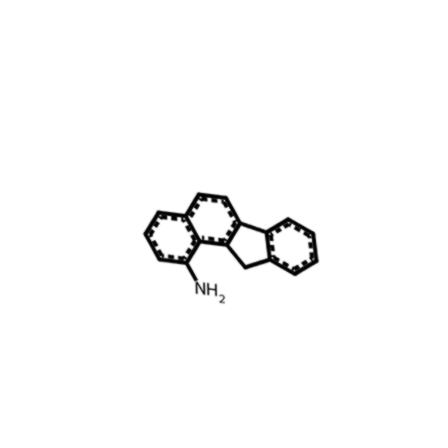 Nc1cccc2ccc3c(c12)Cc1ccccc1-3